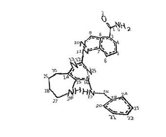 NC(=O)c1cccc2c1cnn2-c1nc2c(c(NCc3ccccc3)n1)NCCCC2